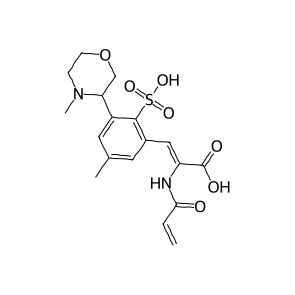 C=CC(=O)NC(=Cc1cc(C)cc(C2COCCN2C)c1S(=O)(=O)O)C(=O)O